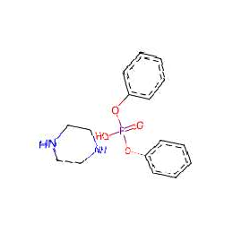 C1CNCCN1.O=P(O)(Oc1ccccc1)Oc1ccccc1